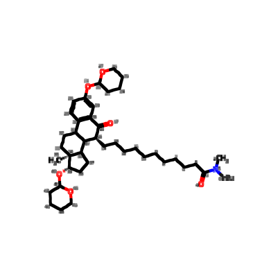 CCCCN(C)C(=O)CCCCCCCCCC[C@@H]1C(=O)c2cc(OC3CCCCO3)ccc2C2CC[C@@]3(C)C(CC[C@@H]3OC3CCCCO3)C21